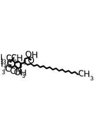 CCCCCCCCCCCCCCCCCCC(CC(=O)O)c1cc(O)c(C(C)(C)C)c(C(C)(C)C)c1